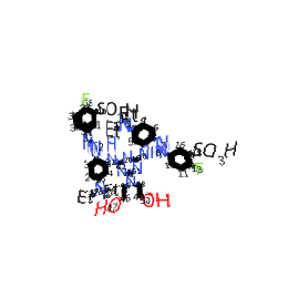 CCN(CC)c1ccc(/N=N/c2ccc(F)c(S(=O)(=O)O)c2)c(Nc2nc(Nc3cc(N(CC)CC)ccc3/N=N/c3ccc(F)c(S(=O)(=O)O)c3)nc(N(CCO)CCO)n2)c1